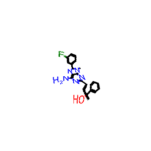 Cn1c(-c2cccc(F)c2)nc2c(N)nc(C=CC(C)(O)c3ccccc3)nc21